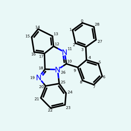 c1ccc(-c2ccccc2-c2nc3ccccc3c3nc4ccccc4n23)cc1